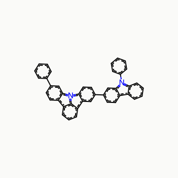 c1ccc(-c2ccc3c4cccc5c6cc(-c7ccc8c9ccccc9n(-c9ccccc9)c8c7)ccc6n(c3c2)c54)cc1